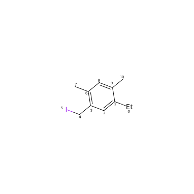 CCc1cc(CI)c(C)cc1C